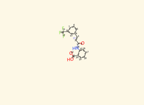 O=C(/C=C/c1cccc(C(F)(F)F)c1)Nc1ccccc1C(=O)O